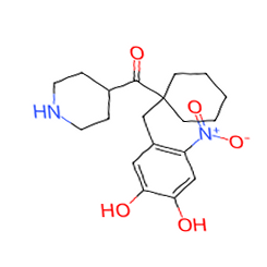 O=C(C1CCNCC1)C1(Cc2cc(O)c(O)cc2[N+](=O)[O-])CCCCC1